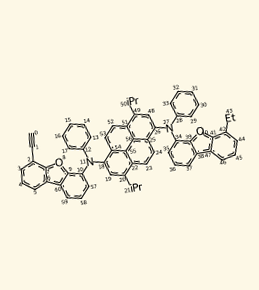 C#Cc1cccc2c1oc1c(N(c3ccccc3)c3cc(C(C)C)c4ccc5c(N(c6ccccc6)c6cccc7c6oc6c(CC)cccc67)cc(C(C)C)c6ccc3c4c65)cccc12